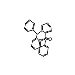 O=S(=O)(c1ccccc1)c1ccccc1C(c1ccccc1)c1ccccc1